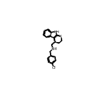 Clc1ccc(CNCC2CCSc3[nH]c4ccccc4c32)cc1